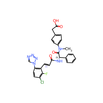 CN(C(=O)[C@@H](NC(=O)/C=C/c1c(-n2cnnn2)ccc(Cl)c1F)c1ccccc1)c1ccc(CC(=O)O)cc1